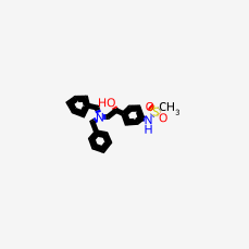 CS(=O)(=O)Nc1ccc(C(O)CN(Cc2ccccc2)Cc2ccccc2)cc1